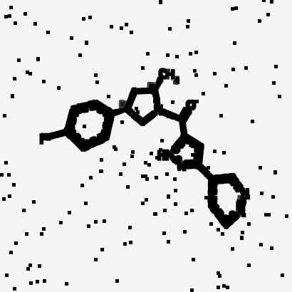 C[C@@H]1C[C@H](c2ccc(F)cc2)CN1C(=O)c1cc(-c2ccnnc2)n[nH]1